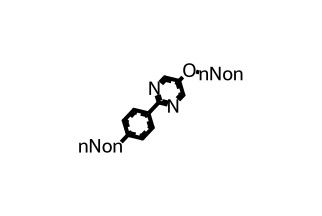 CCCCCCCCCOc1cnc(-c2ccc(CCCCCCCCC)cc2)nc1